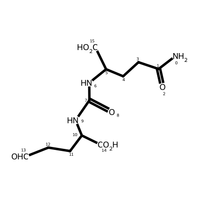 NC(=O)CCC(NC(=O)NC(CCC=O)C(=O)O)C(=O)O